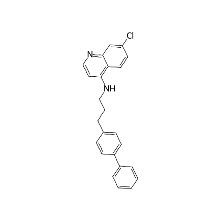 Clc1ccc2c(NCCCc3ccc(-c4ccccc4)cc3)ccnc2c1